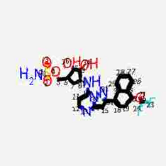 NS(=O)(=O)OCC1C[C@@H](Nc2ccnc3cc(-c4ccc(OC(F)F)c5ccccc45)nn23)[C@H](O)[C@@H]1O